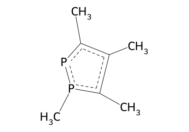 Cc1pp(C)c(C)c1C